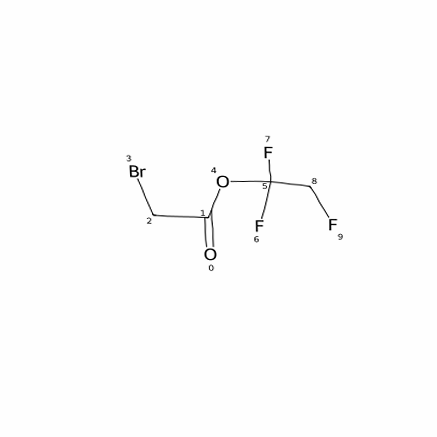 O=C(CBr)OC(F)(F)CF